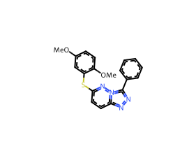 COc1ccc(OC)c(Sc2ccc3nnc(-c4ccccc4)n3n2)c1